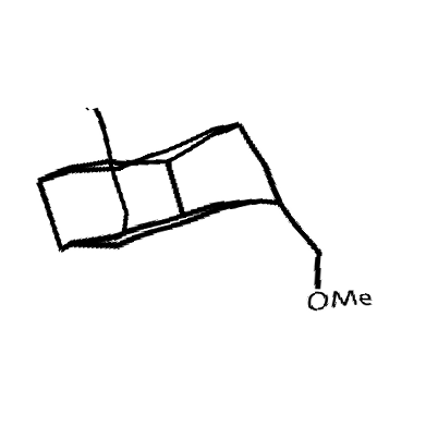 [CH2]C12C3C4C1C1C2C3C41COC